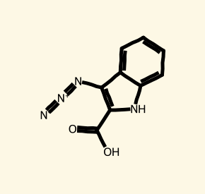 [N-]=[N+]=Nc1c(C(=O)O)[nH]c2ccccc12